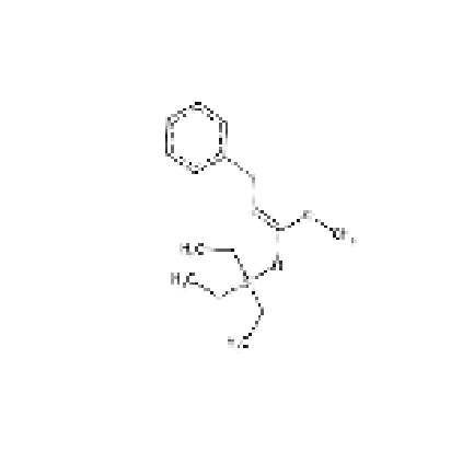 CC[Si](CC)(CC)O/C(=C/Cc1ccccc1)OC